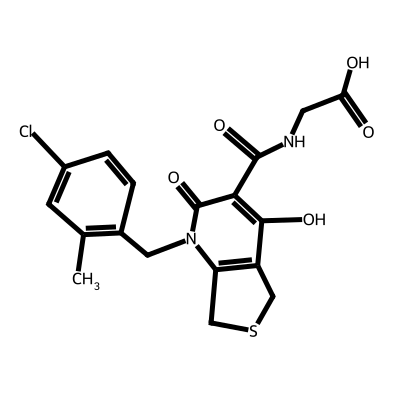 Cc1cc(Cl)ccc1Cn1c2c(c(O)c(C(=O)NCC(=O)O)c1=O)CSC2